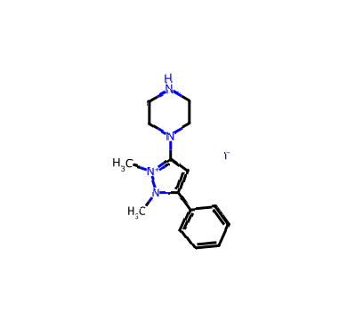 Cn1c(-c2ccccc2)cc(N2CCNCC2)[n+]1C.[I-]